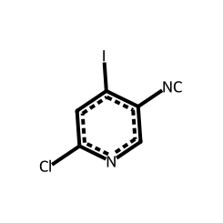 [C-]#[N+]c1cnc(Cl)cc1I